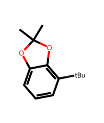 CC1(C)Oc2cccc(C(C)(C)C)c2O1